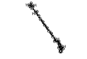 O=C(CCCC[C@@H]1SC[C@@H]2NC(=O)N[C@@H]21)NCCOCCOCCOCCOCCOCCOCCOCCOCCNC(=O)c1cnc(N2CCC3(CC2)NC(=O)N(c2ccccc2)C3=O)s1